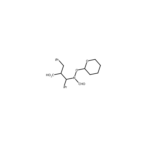 CC(C)CC(C(=O)O)C(C(C)C)N(C=O)OC1CCCCO1